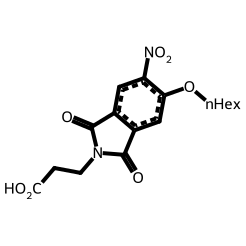 CCCCCCOc1cc2c(cc1[N+](=O)[O-])C(=O)N(CCC(=O)O)C2=O